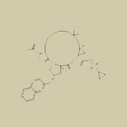 O=C(O)N[C@H]1CCCCCC(F)(F)C[C@@H]2C[C@@]2(C(=O)NS(=O)(=O)C2CC2)NC(=O)[C@@H]2C[C@@H](Oc3cnc4ccccc4n3)CN2C1=O